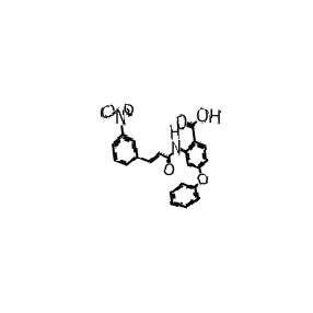 O=C(/C=C/c1cccc([N+](=O)[O-])c1)Nc1cc(Oc2ccccc2)ccc1C(=O)O